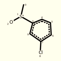 C[S+]([O-])c1cccc(Cl)c1